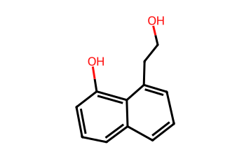 OCCc1cccc2cccc(O)c12